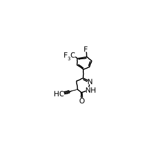 C#C[C@H]1CC(c2ccc(F)c(C(F)(F)F)c2)=NNC1=O